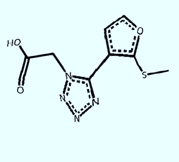 CSc1occc1-c1nnnn1CC(=O)O